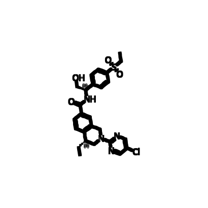 CC[C@H]1CN(c2ncc(Cl)cn2)Cc2cc(C(=O)N[C@@H](CO)c3ccc(S(=O)(=O)CC)cc3)ccc21